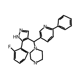 Fc1ccccc1-c1[nH]ncc1C(c1ccc(-c2ccccc2)nc1)N1CC[N]CC1